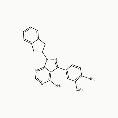 COc1cc(-c2nn(C3Cc4ccccc4C3)c3ncnc(N)c23)ccc1N